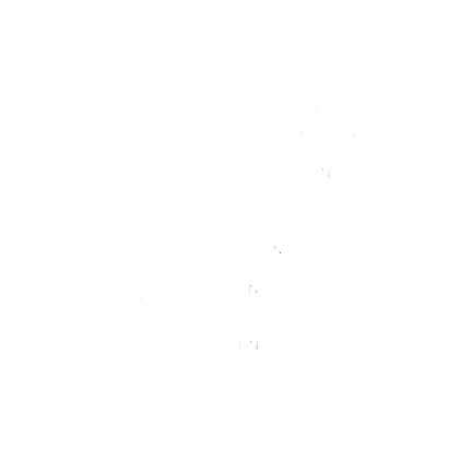 CC(C)(C)OC(=O)N1CCCC(CN2Cc3cc(Cl)c4cc[nH]c4c3N(COCC[Si](C)(C)C)S2(=O)=O)C1